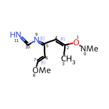 CNO/C(C)=C/C(/C=C/OC)=N/C=N